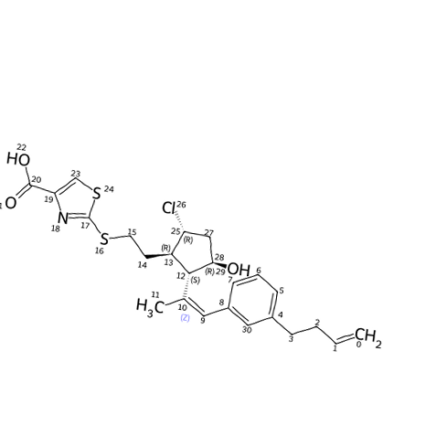 C=CCCc1cccc(/C=C(/C)[C@@H]2[C@@H](CCSc3nc(C(=O)O)cs3)[C@H](Cl)C[C@H]2O)c1